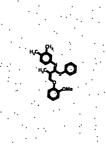 COc1ccccc1OC=C(C)C(=Nc1ccc(C)c(C)c1)Sc1ccccc1